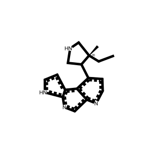 CC[C@@]1(C)CNCC1c1ccnc2cnc3[nH]ccc3c12